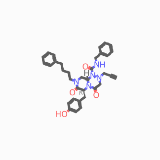 C#CCN1CC(=O)N2[C@@H](Cc3ccc(O)cc3)C(=O)N(CCCCc3ccccc3)C[C@@H]2N1C(=O)NCc1ccccc1